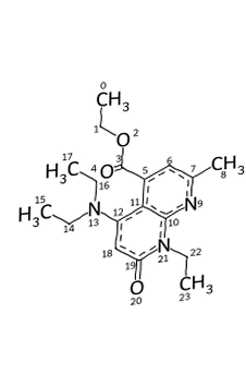 CCOC(=O)c1cc(C)nc2c1c(N(CC)CC)cc(=O)n2CC